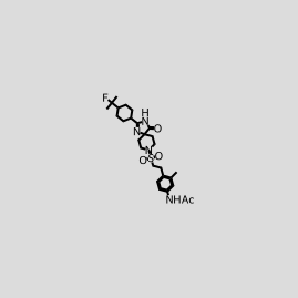 CC(=O)Nc1ccc(CCS(=O)(=O)N2CCC3(CC2)N=C(C2CCC(C(C)(C)F)CC2)NC3=O)c(C)c1